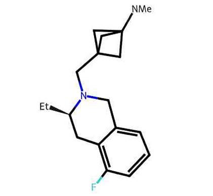 CC[C@@H]1Cc2c(F)cccc2CN1CC12CC(NC)(C1)C2